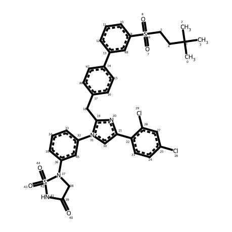 CC(C)(C)CCS(=O)(=O)c1cccc(-c2ccc(Cc3nc(-c4ccc(Cl)cc4Cl)cn3-c3cccc(N4CC(=O)NS4(=O)=O)c3)cc2)c1